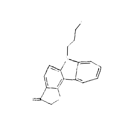 C=C1COc2c1ccc1c2c2ccccc2n1CCCF